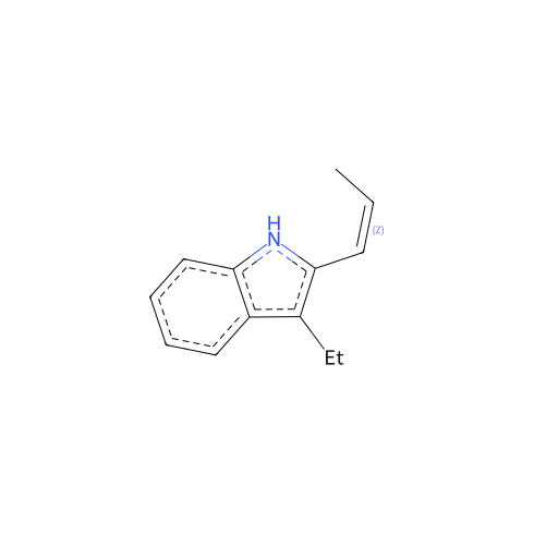 C/C=C\c1[nH]c2ccccc2c1CC